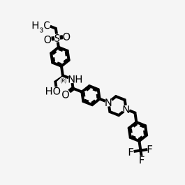 CCS(=O)(=O)c1ccc([C@H](CO)NC(=O)c2ccc(N3CCN(Cc4ccc(C(F)(F)F)cc4)CC3)cc2)cc1